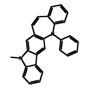 Cn1c2ccccc2c2cc3c(cc21)C=Cc1ccccc1N3c1ccccc1